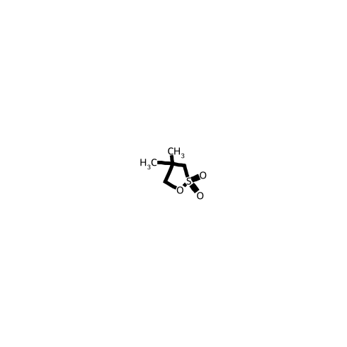 CC1(C)COS(=O)(=O)C1